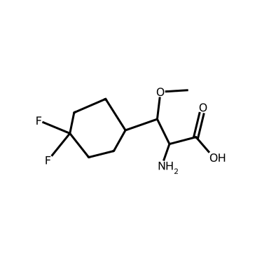 COC(C1CCC(F)(F)CC1)C(N)C(=O)O